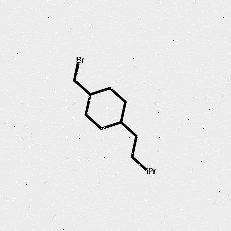 CC(C)CCC1CCC(CBr)CC1